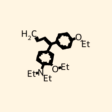 C=CC=C(c1ccc(OCC)cc1)c1ccc(N(CC)CC)c(OCC)c1